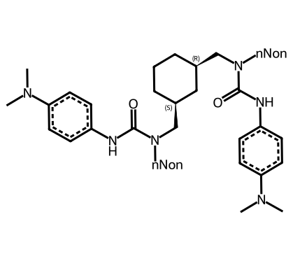 CCCCCCCCCN(C[C@@H]1CCC[C@H](CN(CCCCCCCCC)C(=O)Nc2ccc(N(C)C)cc2)C1)C(=O)Nc1ccc(N(C)C)cc1